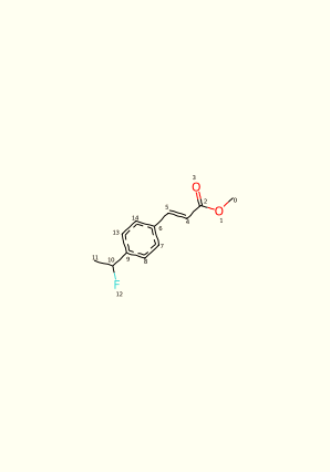 COC(=O)/C=C/c1ccc(C(C)F)cc1